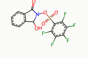 O=C1c2ccccc2C(O)N1OS(=O)(=O)c1c(F)c(F)c(F)c(F)c1F